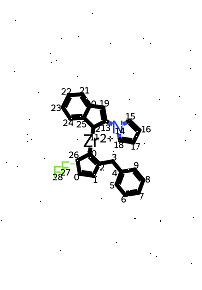 C1=CC(Cc2ccccc2)=[C]([Zr+2][CH]2C(n3cccc3)=Cc3ccccc32)C1.[F-].[F-]